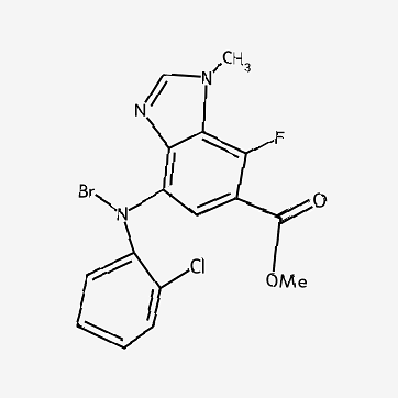 COC(=O)c1cc(N(Br)c2ccccc2Cl)c2ncn(C)c2c1F